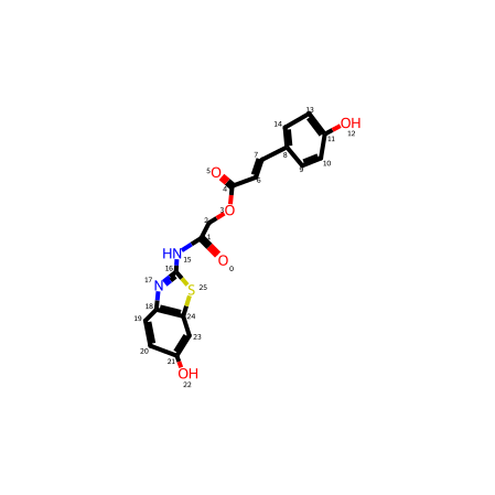 O=C(COC(=O)/C=C/c1ccc(O)cc1)Nc1nc2ccc(O)cc2s1